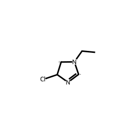 CCN1[C]C(Cl)N=[C]1